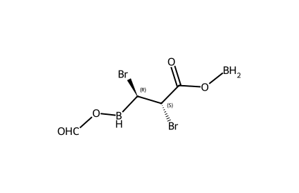 BOC(=O)[C@H](Br)[C@H](Br)BOC=O